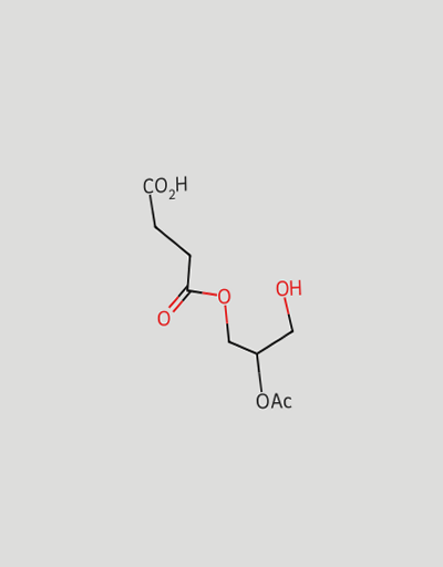 CC(=O)OC(CO)COC(=O)CCC(=O)O